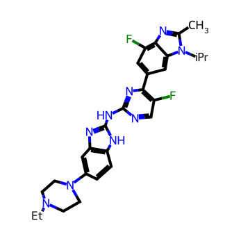 CCN1CCN(c2ccc3[nH]c(Nc4ncc(F)c(-c5cc(F)c6nc(C)n(C(C)C)c6c5)n4)nc3c2)CC1